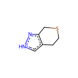 c1[nH]nc2c1CCSC2